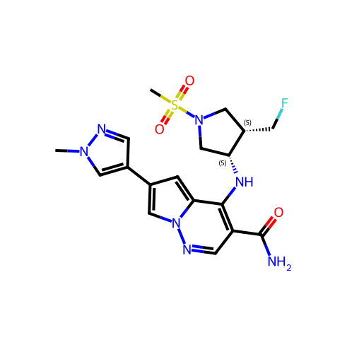 Cn1cc(-c2cc3c(N[C@@H]4CN(S(C)(=O)=O)C[C@@H]4CF)c(C(N)=O)cnn3c2)cn1